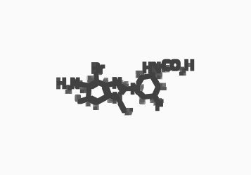 Cc1cc2c(nc(N3CC(F)C[C@@H](NC(=O)O)C3)n2C)c(Br)c1N